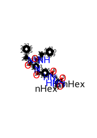 CCCCCCNC(=O)[C@H](CNC(=O)c1ccc(C(=O)N2C[C@@H](C(=O)N[C@H]3C[C@@H]3c3ccccc3)[C@H](C(=O)N[C@H]3C[C@@H]3c3ccccc3)C2)cc1)NC(=O)CCCCCC